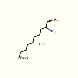 Br.C=CC(N)CCCCCCCCCCCCCC